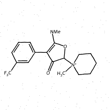 CNC1=C(c2cccc(C(F)(F)F)c2)C(=O)C([N+]2(C)CCCCC2)O1